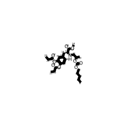 CCCCCOC(=O)OC(C)CN[C@@H](Cc1ccc(OC(=O)CC)c(OC(=O)CC)c1)C(=O)OC